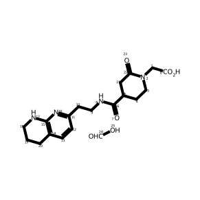 O=C(O)CN1CCC(C(=O)NCCc2ccc3c(n2)NCCC3)CC1=O.O=CO